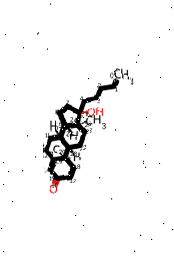 CCCCC[C@@]1(O)CC[C@H]2[C@@H]3CCC4=CC(=O)CC[C@]4(C)[C@H]3CC[C@@]21C